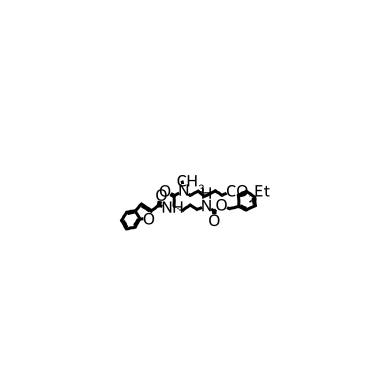 CCOC(=O)CCCCCN(C)C(=O)[C@H](CCCNC(=O)OCc1ccccc1)NC(=O)c1cc2ccccc2o1